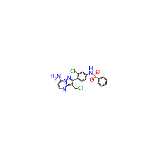 Nc1ccnc2c(CCl)c(-c3ccc(NS(=O)(=O)c4ccccc4)cc3Cl)nn12